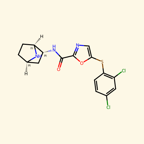 O=C(N[C@@H]1C[C@H]2CC[C@@H]1N2)c1ncc(Sc2ccc(Cl)cc2Cl)o1